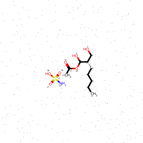 CCCCC[C@@H](CO)C(O)OC(C)=O.NS(=O)(=O)O